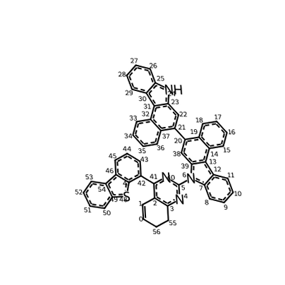 C1=Cc2c(nc(-n3c4ccccc4c4c5ccccc5c(-c5cc6[nH]c7ccccc7c6c6ccccc56)cc43)nc2-c2cccc3c2sc2ccccc23)CC1